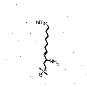 CCCCCCCCCCCCCCCCC=CC(N)CC[N+](C)(C)[O-]